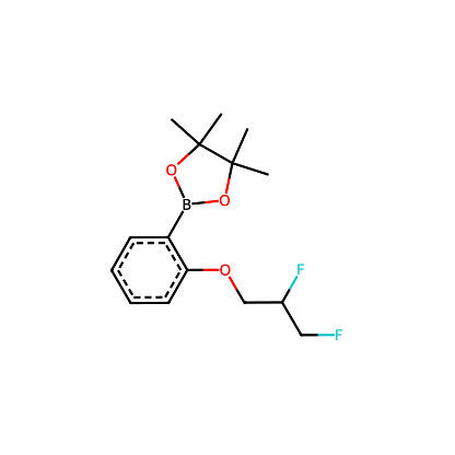 CC1(C)OB(c2ccccc2OCC(F)CF)OC1(C)C